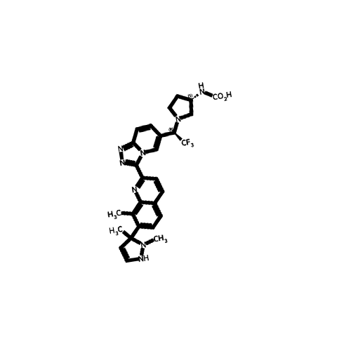 Cc1c(C2(C)C=CNN2C)ccc2ccc(-c3nnc4ccc([C@@H](N5CC[C@H](NC(=O)O)C5)C(F)(F)F)cn34)nc12